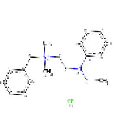 CCN(CC[N+](C)(C)Cc1ccccc1)c1ccccc1.[Cl-]